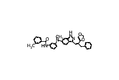 Cc1cccc(C(=O)Nc2cccc(N(C)c3ccc4c(C=C(Cc5ccccc5)C5=COCO5)n[nH]c4c3)c2)c1